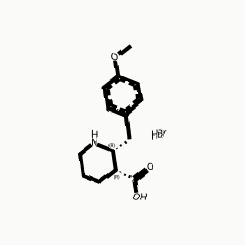 Br.COc1ccc(C[C@H]2NCCC[C@H]2C(=O)O)cc1